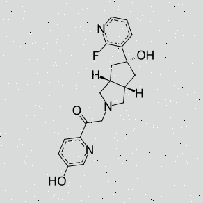 O=C(CN1C[C@@H]2C[C@@](O)(c3cccnc3F)C[C@@H]2C1)c1ccc(O)cn1